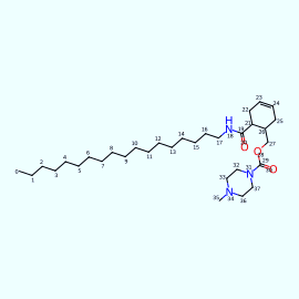 CCCCCCCCCCCCCCCCCCNC(=O)C1CC=CCC1COC(=O)N1CCN(C)CC1